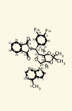 Cc1ncnc2c1ccn2[C@@H]1O[C@H]([C@H](c2ccc(F)c(F)c2)N2C(=O)c3ccccc3C2=O)[C@H]2OC(C)(C)O[C@H]21